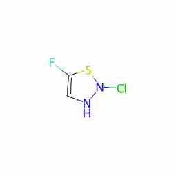 FC1=CNN(Cl)S1